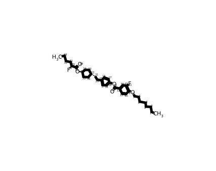 CCCCCCCCOc1ccc(C(=O)Oc2ccc(CC[C@H]3CC[C@H](OC(=O)[C@@H](F)CCCC)CC3)cc2)cc1F